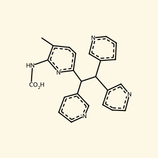 Cc1ccc(C(c2cccnc2)C(c2cccnc2)c2cccnc2)nc1NC(=O)O